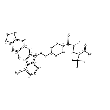 C[C@H](CN(C(=O)O)C(C)(C)C)C(=O)N1CCC(CCn2c(Sc3cc4c(cc3Br)OCO4)nc3c(N)ncnc32)CC1